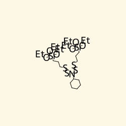 CCO[Si](CCCSSN(SSCCC[Si](OCC)(OCC)OCC)C1CCCCC1)(OCC)OCC